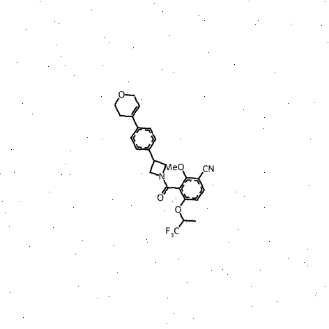 COc1c(C#N)ccc(OC(C)C(F)(F)F)c1C(=O)N1CC(c2ccc(C3=CCOCC3)cc2)C1